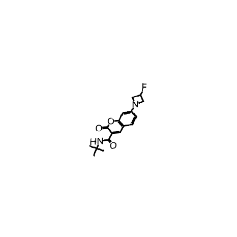 CC(C)(C)NC(=O)c1cc2ccc(N3CC(F)C3)cc2oc1=O